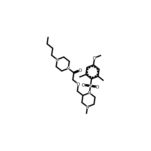 CCCCN1CCN(C(=O)COCC2CN(C)CCN2S(=O)(=O)c2c(C)cc(OC)cc2C)CC1